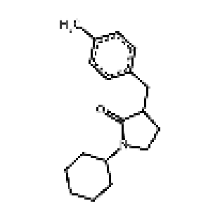 Cc1ccc(CC2CCN(C3CCCCC3)C2=O)cc1